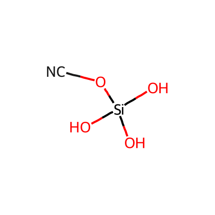 N#CO[Si](O)(O)O